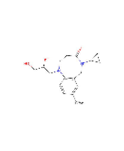 COc1ccc2c(c1)CN(C1CC1)C(=O)CCN2CC(O)CO